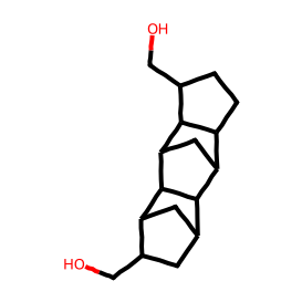 OCC1CC2CC1C1C3CC(C4CCC(CO)C43)C21